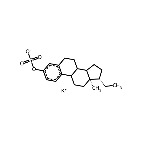 CC[C@H]1CCC2C3CCc4cc(OS(=O)(=O)[O-])ccc4C3CC[C@@]21C.[K+]